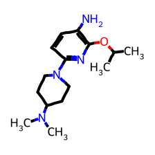 CC(C)Oc1nc(N2CCC(N(C)C)CC2)ccc1N